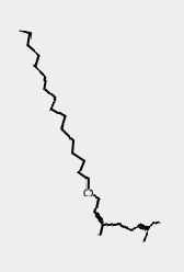 CCCCCCCCCCCCCCCCOCC=C(C)CCC=C(C)C